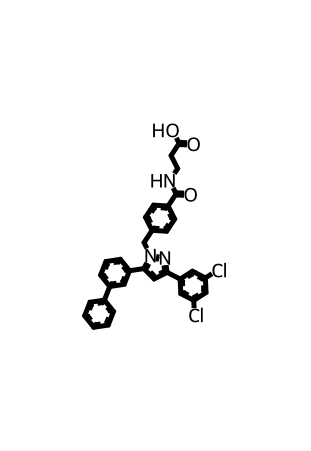 O=C(O)CCNC(=O)c1ccc(Cn2nc(-c3cc(Cl)cc(Cl)c3)cc2-c2cccc(-c3ccccc3)c2)cc1